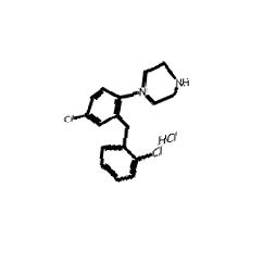 Cl.Clc1ccc(N2CCNCC2)c(Cc2ccccc2Cl)c1